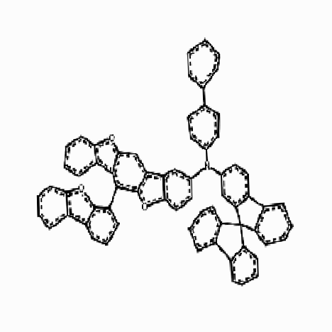 c1ccc(-c2ccc(N(c3ccc4c(c3)C3(c5ccccc5-c5ccccc53)c3ccccc3-4)c3ccc4oc5c(-c6cccc7c6oc6ccccc67)c6c(cc5c4c3)oc3ccccc36)cc2)cc1